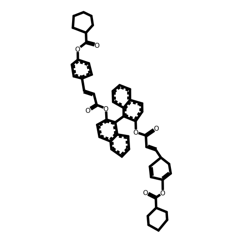 O=C(/C=C/c1ccc(OC(=O)C2CCCCC2)cc1)Oc1ccc2ccccc2c1-c1c(OC(=O)/C=C/C2C=CC(OC(=O)C3CCCCC3)=CC2)ccc2ccccc12